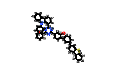 c1ccc(-c2nc(-c3ccc4c(c3)oc3ccc(-c5ccc6c(c5)sc5ccccc56)cc34)nc(-c3cccc4c5ccccc5n(-c5ccccc5)c34)n2)cc1